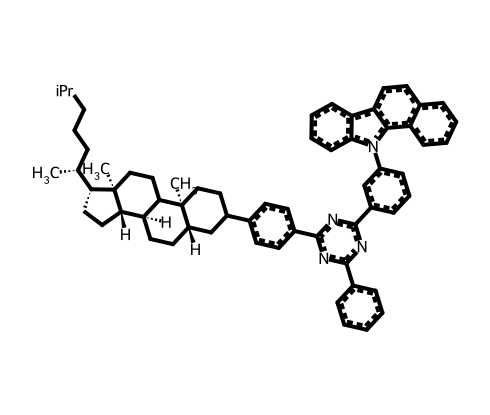 CC(C)CCC[C@@H](C)[C@H]1CC[C@H]2[C@@H]3CC[C@H]4CC(c5ccc(-c6nc(-c7ccccc7)nc(-c7cccc(-n8c9ccccc9c9ccc%10ccccc%10c98)c7)n6)cc5)CC[C@]4(C)C3CC[C@]12C